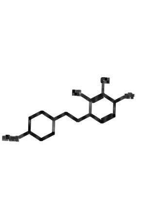 CCCCCC1CCC(CCC2C=CC(CCC)C(C#N)=C2C#N)CC1